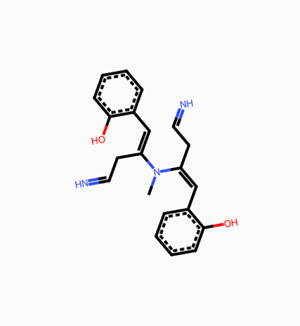 CN(C(=Cc1ccccc1O)CC=N)C(=Cc1ccccc1O)CC=N